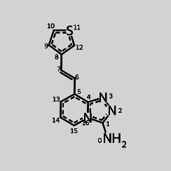 Nc1nnc2c(C=Cc3ccsc3)cccn12